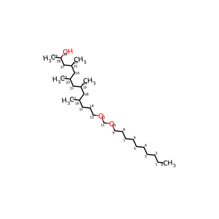 CCCCCCCCCCOCOCCCC(C)CC(C)CC(C)CC(C)CC(C)O